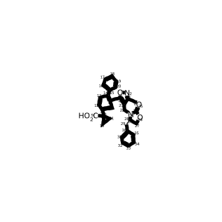 Cc1noc(-c2cc(C3(C(=O)O)CC3)ccc2-c2ccccc2)c1CN1C(=O)OC[C@@H]1Cc1ccccc1